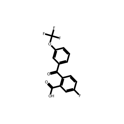 O=C(O)c1cc(F)ccc1C(=O)c1cccc(OC(F)(F)F)c1